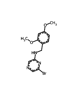 COc1ccc(CNc2cncc(Br)n2)c(OC)c1